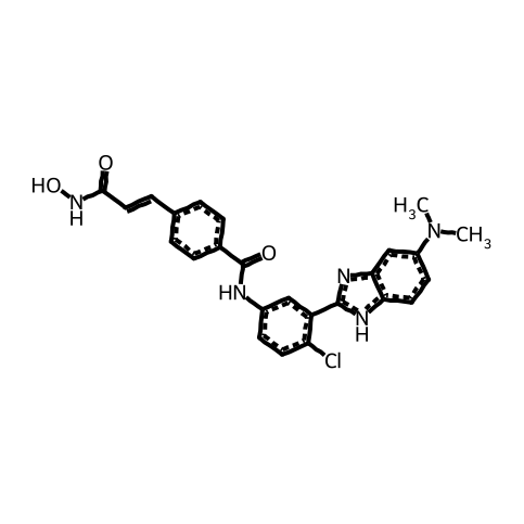 CN(C)c1ccc2[nH]c(-c3cc(NC(=O)c4ccc(/C=C/C(=O)NO)cc4)ccc3Cl)nc2c1